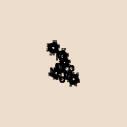 O=C1c2ccccc2C(=O)N1C(c1ccc2ccc(-c3ccccc3)nc2c1)c1nccnc1Cl